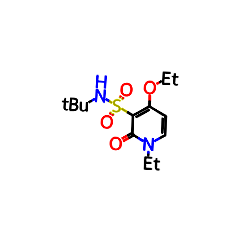 CCOc1ccn(CC)c(=O)c1S(=O)(=O)NC(C)(C)C